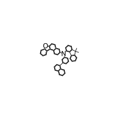 CC1(C)c2ccccc2-c2c(N(c3cccc(-c4cccc5ccccc45)c3)c3ccc4c(ccc5oc6ccccc6c54)c3)cccc21